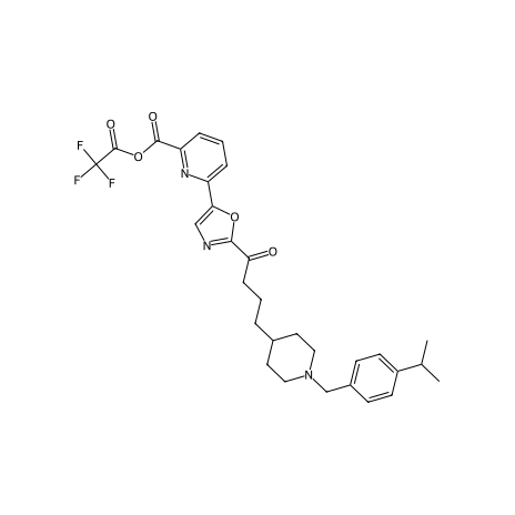 CC(C)c1ccc(CN2CCC(CCCC(=O)c3ncc(-c4cccc(C(=O)OC(=O)C(F)(F)F)n4)o3)CC2)cc1